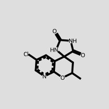 CC1CC2(NC(=O)NC2=O)c2cc(Cl)cnc2O1